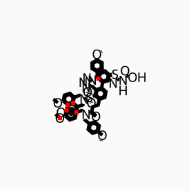 COc1ccc(CN(Cc2ccc(OC)cc2)C(=O)CCc2ccc(-c3cccc4sc(NC(=O)O)nc34)c(-c3nnnn3Cc3ccc(OC)cc3)c2S(=O)(=O)N(Cc2ccc(OC)cc2)Cc2ccc(OC)cc2)cc1